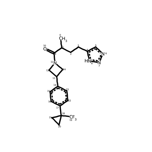 CC(CCc1cnn[nH]1)C(=O)N1CC(c2ccc(C3(C(F)(F)F)CC3)cc2)C1